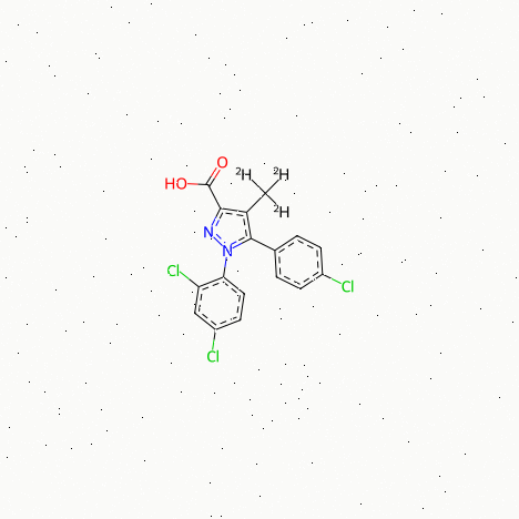 [2H]C([2H])([2H])c1c(C(=O)O)nn(-c2ccc(Cl)cc2Cl)c1-c1ccc(Cl)cc1